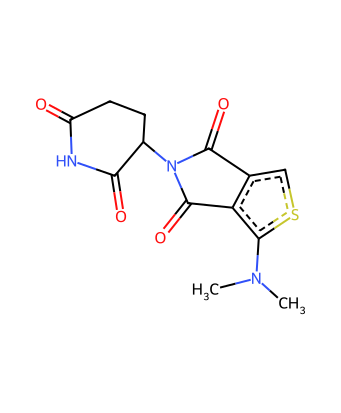 CN(C)c1scc2c1C(=O)N(C1CCC(=O)NC1=O)C2=O